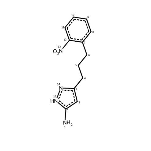 Nc1cc(CCCc2ccccc2[N+](=O)[O-])n[nH]1